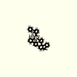 CC1(C)c2ccccc2-c2c(-c3cccc(C4=NC(c5cccc6c5sc5ccccc56)NC(c5ccccc5-c5ccccc5)=N4)c3)cccc21